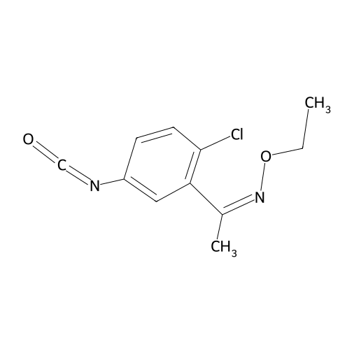 CCO/N=C(/C)c1cc(N=C=O)ccc1Cl